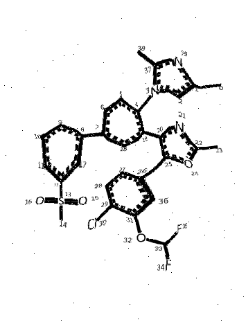 Cc1cn(-c2ccc(-c3cccc(S(C)(=O)=O)c3)cc2-c2nc(C)oc2-c2ccc(Cl)c(OC(F)F)c2)c(C)n1